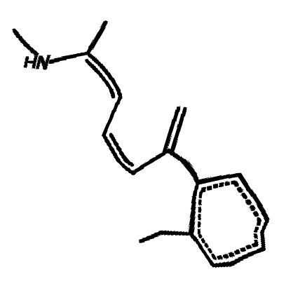 C=C(/C=C\C=C(\C)NC)c1ccccc1C